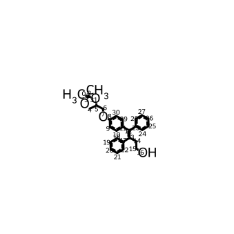 CC1(C)OCC(COc2ccc(/C(=C(/CCO)c3ccccc3)c3ccccc3)cc2)O1